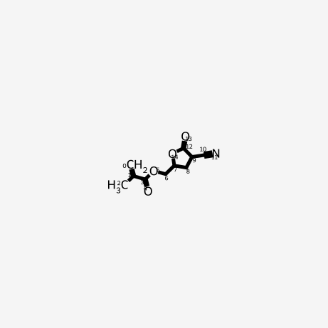 C=C(C)C(=O)OCC1CC(C#N)C(=O)O1